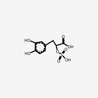 O=C(O)C(Cc1ccc(O)c(O)c1)OS(=O)(=O)O